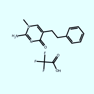 Cn1cc(CCc2ccccc2)c(=O)nc1N.O=C(O)C(F)(F)F